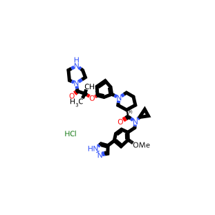 COc1cc(-c2cn[nH]c2)ccc1CN(C(=O)[C@@H]1CCCN(c2cccc(OC(C)(C)C(=O)N3CCNCC3)c2)C1)C1CC1.Cl